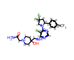 NC(=O)CN1CCC(O)(CNc2ncnc(N3CC(F)(F)CC3c3ccc(C(F)(F)F)cc3)c2F)CC1